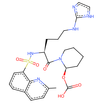 Cc1ccc2cccc(S(=O)(=O)N[C@@H](CCCNc3ncc[nH]3)C(=O)N3CCCC[C@H]3OC(=O)O)c2n1